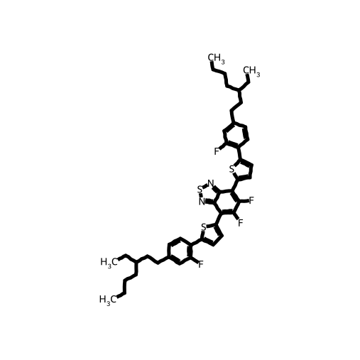 CCCCC(CC)CCc1ccc(-c2ccc(-c3c(F)c(F)c(-c4ccc(-c5ccc(CCC(CC)CCCC)cc5F)s4)c4nsnc34)s2)c(F)c1